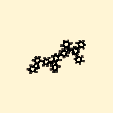 c1ccc(-c2cc(-c3ccccc3)nc(-n3c4ccccc4c4cc(-c5ccc6c(c5)c5ccccc5n6-c5ccc(-c6cccc7c6sc6ccccc67)cc5)ccc43)n2)cc1